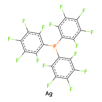 Fc1c(F)c(F)c(P(c2c(F)c(F)c(F)c(F)c2F)c2c(F)c(F)c(F)c(F)c2F)c(F)c1F.[Ag]